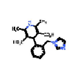 CC1=C(C(=O)O)C(c2ccccc2Cn2ccnc2)C(C(=O)O)=C(C)N1